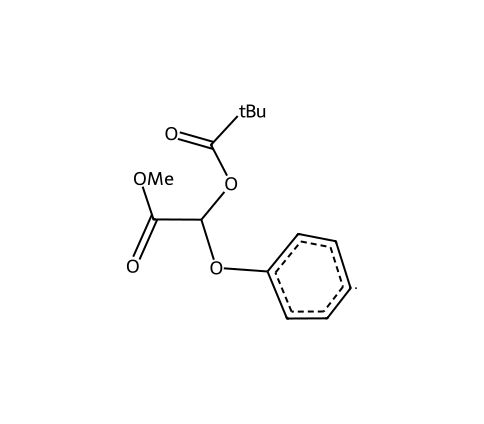 COC(=O)C(OC(=O)C(C)(C)C)Oc1cc[c]cc1